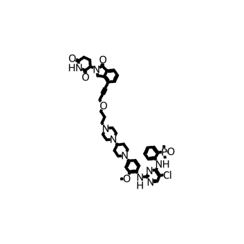 COc1cc(N2CCC(N3CCN(CCCOCC#Cc4cccc5c4CN(C4CCC(=O)NC4=O)C5=O)CC3)CC2)ccc1Nc1ncc(Cl)c(Nc2ccccc2P(C)(C)=O)n1